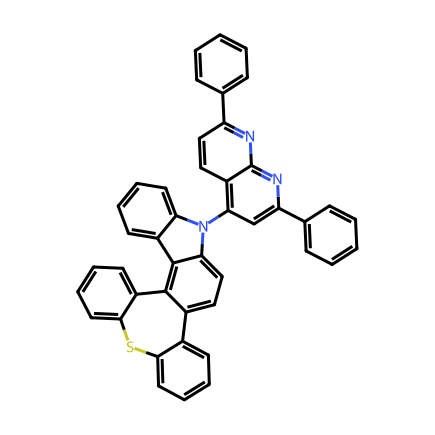 c1ccc(-c2ccc3c(-n4c5ccccc5c5c6c(ccc54)-c4ccccc4Sc4ccccc4-6)cc(-c4ccccc4)nc3n2)cc1